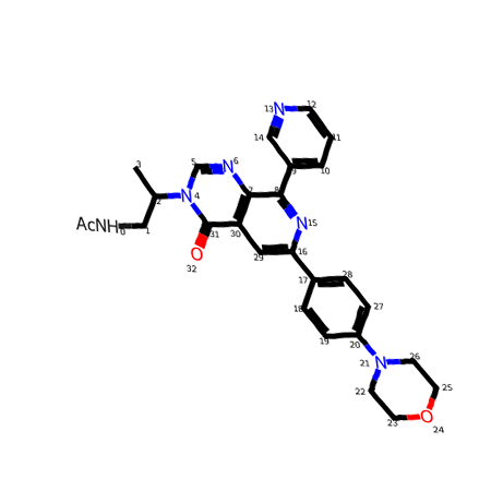 CC(=O)NCC(C)n1cnc2c(-c3cccnc3)nc(-c3ccc(N4CCOCC4)cc3)cc2c1=O